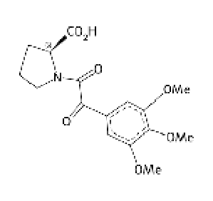 COc1cc(C(=O)C(=O)N2CCC[C@H]2C(=O)O)cc(OC)c1OC